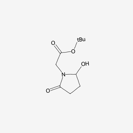 CC(C)(C)OC(=O)CN1C(=O)CCC1O